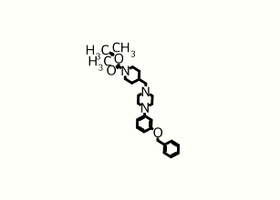 CC(C)(C)OC(=O)N1CCC(CN2CCN(c3cccc(OCc4ccccc4)c3)CC2)CC1